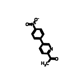 CC(=O)c1ccc(-c2ccc([N+](=O)[O-])cc2)cn1